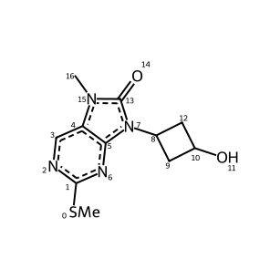 CSc1ncc2c(n1)n(C1CC(O)C1)c(=O)n2C